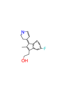 CC1=C(CCO)c2cc(F)ccc2C1=C1C=CN=CC1